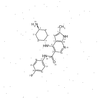 Cc1cc2c(N[C@H]3CC[C@H](N)CC3)c(C(=O)Nc3ccc(F)cc3)cnc2[nH]1